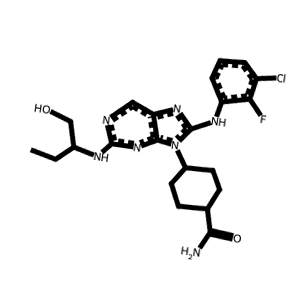 CCC(CO)Nc1ncc2nc(Nc3cccc(Cl)c3F)n(C3CCC(C(N)=O)CC3)c2n1